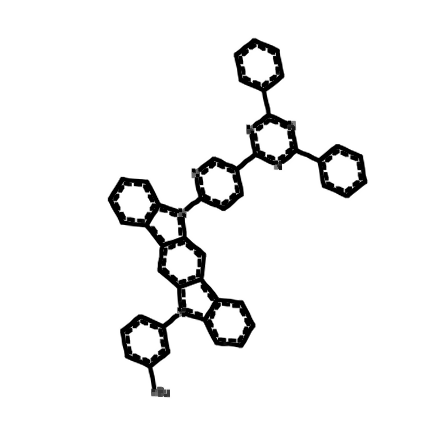 CCCCc1cccc(-n2c3ccccc3c3cc4c(cc32)c2ccccc2n4-c2ccc(-c3nc(-c4ccccc4)nc(-c4ccccc4)n3)cn2)c1